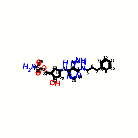 N=Nc1c(NCCCc2ccccc2)ncnc1NC1CC(O)C(COS(N)(=O)=O)C1